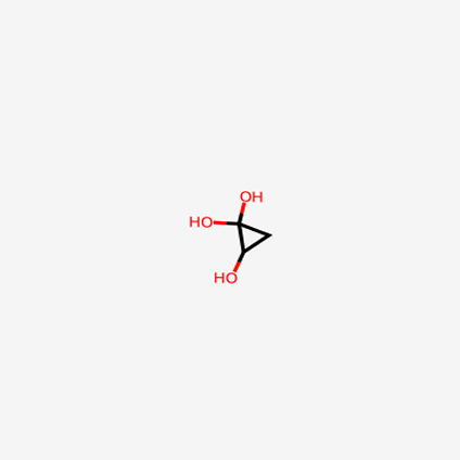 OC1CC1(O)O